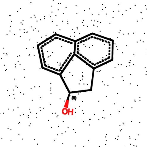 O[C@@H]1Cc2cccc3cccc1c23